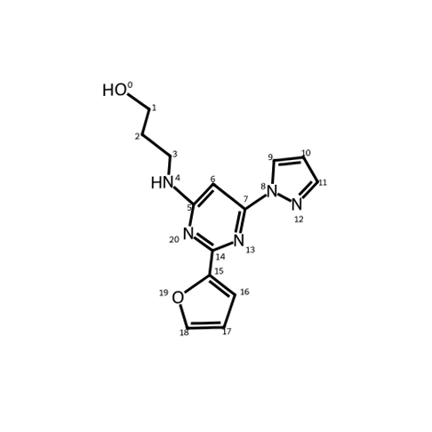 OCCCNc1cc(-n2cccn2)nc(-c2ccco2)n1